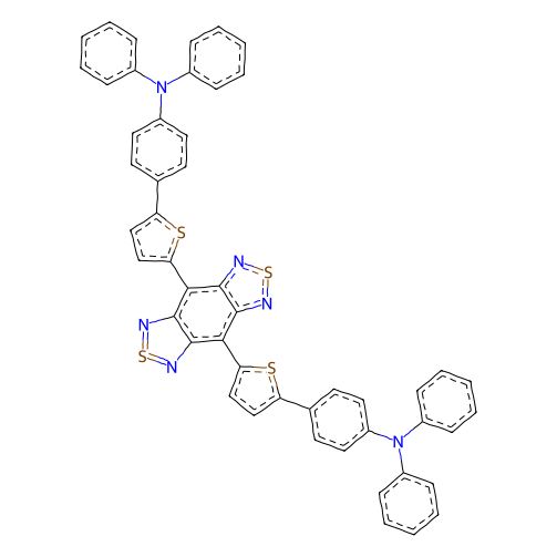 c1ccc(N(c2ccccc2)c2ccc(-c3ccc(-c4c5c(c(-c6ccc(-c7ccc(N(c8ccccc8)c8ccccc8)cc7)s6)c6nsnc46)N=S=N5)s3)cc2)cc1